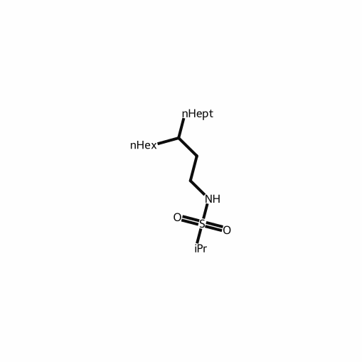 CCCCCCCC(CCCCCC)CCNS(=O)(=O)C(C)C